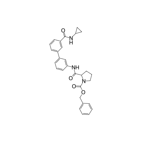 O=C(NC1CC1)c1cccc(-c2cccc(NC(=O)C3CCCN3C(=O)OCc3ccccc3)c2)c1